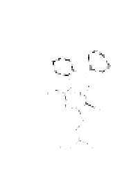 CC(C)CCCC(=O)NCC(c1ccccc1)c1ccccc1CC(C)C